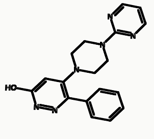 Oc1cc(N2CCN(c3ncccn3)CC2)c(-c2ccccc2)nn1